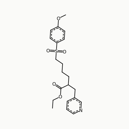 CCOC(=O)C(CCCCS(=O)(=O)c1ccc(OC)cc1)Cc1cccnc1